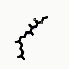 CCOC(=O)/C=C(C)/C(C)=C/CCC(C)CCC=C(C)C